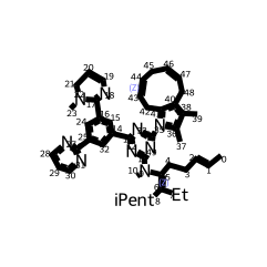 CC=CCC/C(=C(\CC)C(C)CCC)N(C)c1nc(-c2cc(C3=NC=CCN3C)cc(-c3ncccn3)c2)nc(-n2c(C)c(C)c3c2C/C=C\CC=CC3)n1